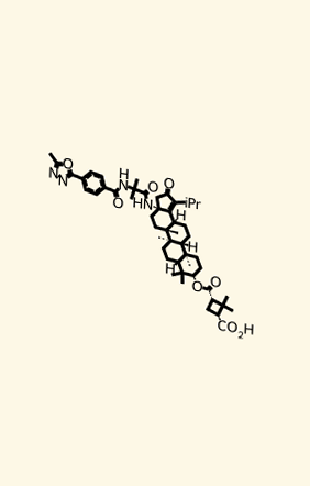 Cc1nnc(-c2ccc(C(=O)NC(C)(C)C(=O)N[C@@]34CC[C@]5(C)[C@H](CC[C@@H]6[C@@]7(C)CC[C@H](OC(=O)[C@H]8C[C@@H](C(=O)O)C8(C)C)C(C)(C)[C@@H]7CC[C@]65C)C3=C(C(C)C)C(=O)C4)cc2)o1